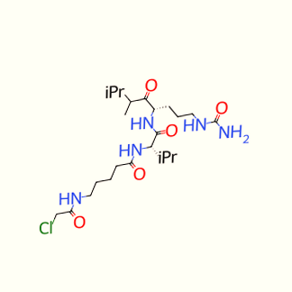 CC(C)C(C)C(=O)[C@H](CCCNC(N)=O)NC(=O)[C@@H](NC(=O)CCCCNC(=O)CCl)C(C)C